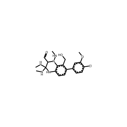 CNN1c2c(ccc(-c3ccc(Cl)c(OC)c3)c2CO)NC(NC)(NC)C1C=O